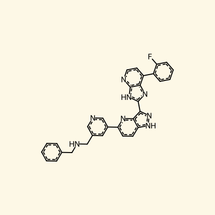 Fc1ccccc1-c1ccnc2[nH]c(-c3n[nH]c4ccc(-c5cncc(CNCc6ccccc6)c5)nc34)nc12